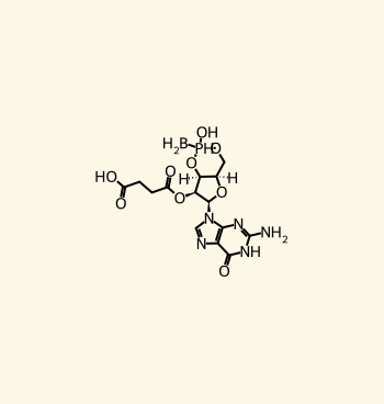 B[PH]1(O)OC[C@H]2O[C@@H](n3cnc4c(=O)[nH]c(N)nc43)[C@@H](OC(=O)CCC(=O)O)[C@H]2O1